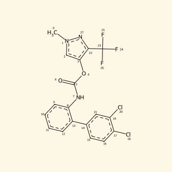 Cn1cc(OC(=O)Nc2ccccc2-c2ccc(Cl)c(Cl)c2)c(C(F)(F)F)n1